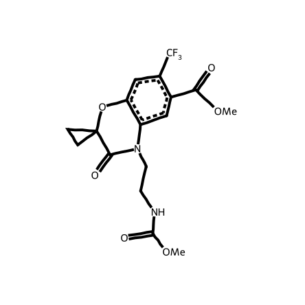 COC(=O)NCCN1C(=O)C2(CC2)Oc2cc(C(F)(F)F)c(C(=O)OC)cc21